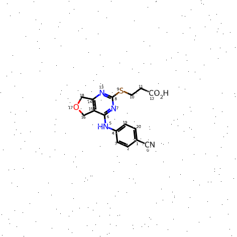 N#Cc1ccc(Nc2nc(SCCC(=O)O)nc3c2COC3)cc1